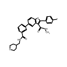 CNC(=O)c1c(-c2ccc(F)cc2)oc2ccc(-c3cccc(C(=O)NCC4CCOCC4)c3)cc12